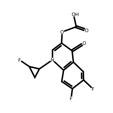 O=C(O)Oc1cn(C2CC2F)c2cc(F)c(F)cc2c1=O